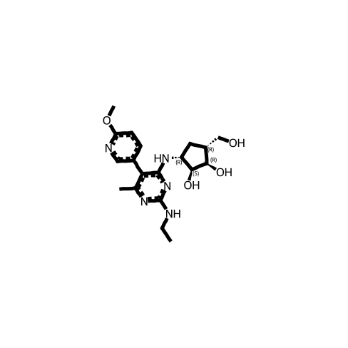 CCNc1nc(C)c(-c2ccc(OC)nc2)c(N[C@@H]2C[C@H](CO)[C@@H](O)[C@H]2O)n1